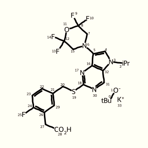 CC(C)(C)[O-].CC(C)n1cc(N2CC(F)(F)OC(F)(F)C2)c2nc(SCc3ccc(F)c(CC(=O)O)c3)ncc21.[K+]